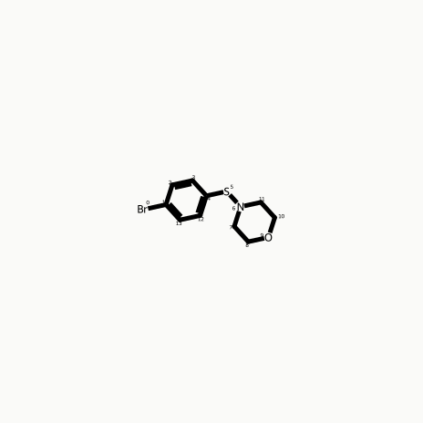 Brc1ccc(SN2CCOCC2)cc1